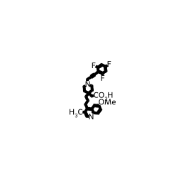 COc1ccc2ncc(C)c(CCCC3(CC(=O)O)CCN(CC#Cc4c(F)cc(F)cc4F)CC3)c2c1